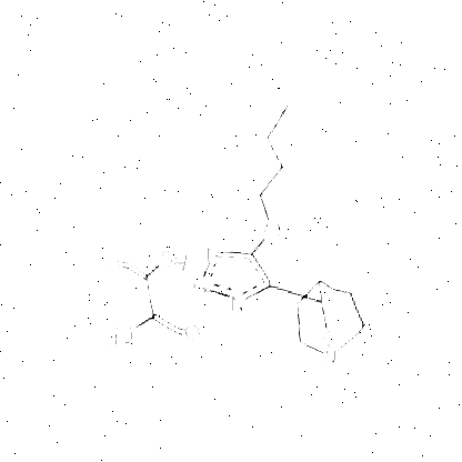 CCCCOc1nsnc1C1CN2CCC1CC2.O=C(O)C(=O)O